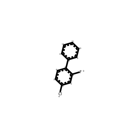 Fc1cc(Cl)ccc1-c1c[c]ccc1